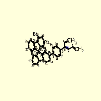 C=C/C=C(\C=C)c1ccc(-c2ccc3c(c2)C2(c4ccccc4-3)c3ccccc3-c3c(Br)cccc32)cc1